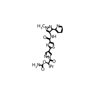 CC(C)C(OC(N)=O)C(=O)n1cc(-c2nc(C(=O)Nc3cn(C)nc3-c3ccccn3)cs2)cn1